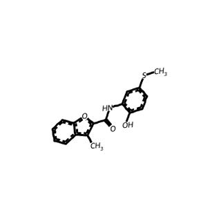 CSc1ccc(O)c(NC(=O)c2oc3ccccc3c2C)c1